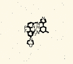 CC1CC(N)CC(c2ccncc2NCc2ccc(F)c(-c3c(F)cc(N4CCOCC4)cc3F)n2)C1